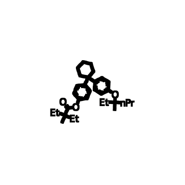 CCCC(C)(CC)Oc1ccc(C2(c3ccc(OC(=O)C(C)(CC)CC)cc3)CCCCC2)cc1